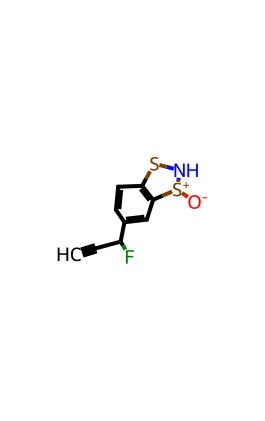 C#CC(F)c1ccc2c(c1)[S+]([O-])NS2